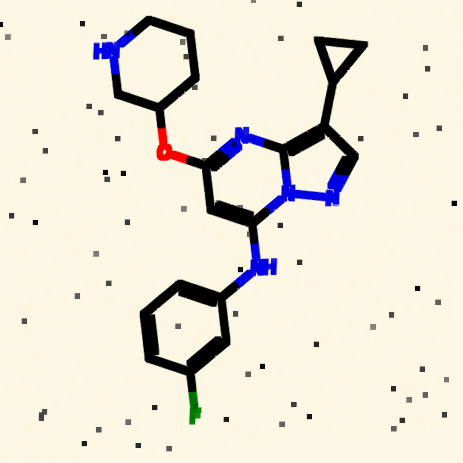 Fc1cccc(Nc2cc(OC3CCCNC3)nc3c(C4CC4)cnn23)c1